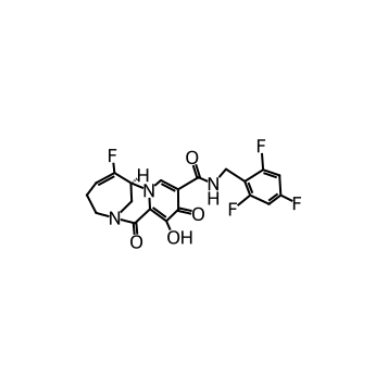 O=C(NCc1c(F)cc(F)cc1F)c1cn2c(c(O)c1=O)C(=O)N1CCC=C(F)[C@@H]2C1